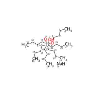 CCCC[O][Ti](=[O])([OH])([CH2]CCC)([CH2]CCC)([CH2]CCC)([CH2]CCC)[CH2]CCC.[NaH]